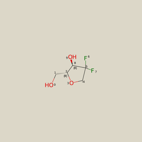 OC[C@H]1O[CH]C(F)(F)[C@@H]1O